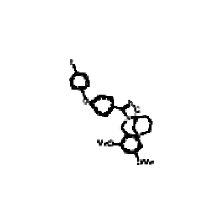 COc1ccc(CN2C(c3ccc(Oc4ccc(F)cc4)cc3)=NO[C@]23CN2CCC3CC2)c(OC)c1